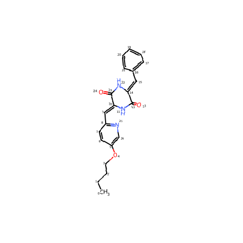 CCCCOc1ccc(C=c2[nH]c(=O)c(=Cc3ccccc3)[nH]c2=O)nc1